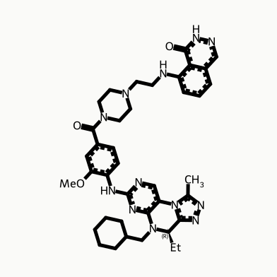 CC[C@@H]1c2nnc(C)n2-c2cnc(Nc3ccc(C(=O)N4CCN(CCNc5cccc6cn[nH]c(=O)c56)CC4)cc3OC)nc2N1CC1CCCCC1